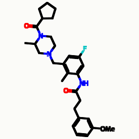 COc1cccc(CCC(=O)Nc2cc(F)cc(CN3CCN(C(=O)C4CCCC4)C(C)C3)c2C)c1